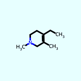 CCC1=C(C)CN(C)CC1